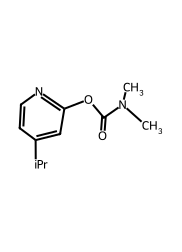 CC(C)c1ccnc(OC(=O)N(C)C)c1